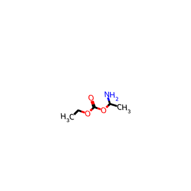 CCOC(=O)OC(C)N